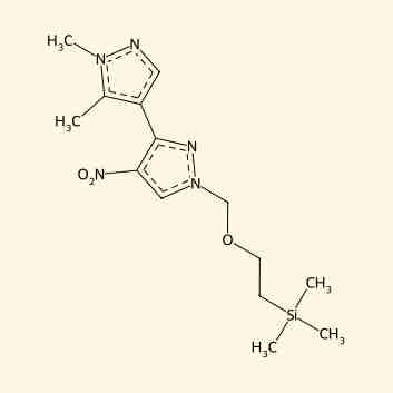 Cc1c(-c2nn(COCC[Si](C)(C)C)cc2[N+](=O)[O-])cnn1C